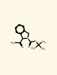 CC(C)(C)OC(=O)N1Cc2ccccc2C1C(=O)[SiH3]